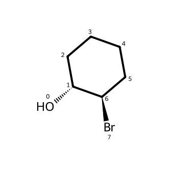 O[C@@H]1CCCC[C@H]1Br